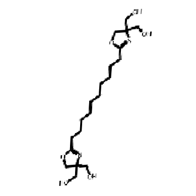 OCC1(CO)COC(CCCCCCCCCCC2=NC(CO)(CO)CO2)=N1